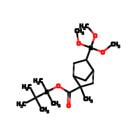 CO[Si](OC)(OC)C1CC2CC1CC2(C)C(=O)O[Si](C)(C)C(C)(C)C